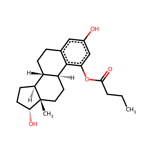 CCCC(=O)Oc1cc(O)cc2c1[C@H]1CC[C@]3(C)[C@H](O)CC[C@H]3[C@@H]1CC2